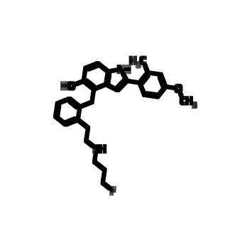 COc1ccc(-c2cc3c(Cc4ccccc4CCNCCCF)c(O)ccc3[nH]2)c(C)c1